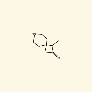 CC1C(=O)CC12CCNCC2